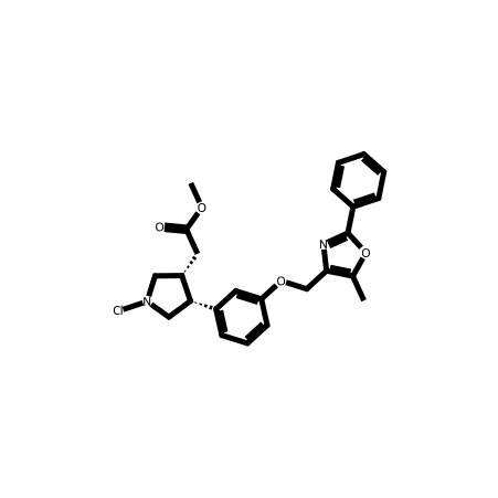 COC(=O)C[C@H]1CN(Cl)C[C@H]1c1cccc(OCc2nc(-c3ccccc3)oc2C)c1